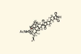 CC#CC(C)(C)c1ccc2c(c1C)Oc1c(ccc(N3C(=O)c4ccc(-c5ccc6c(c5)C(=O)NC6=O)cc4C3=O)c1C)C21c2ccccc2-c2ccc([S+]([O-])NC(C)=O)cc21